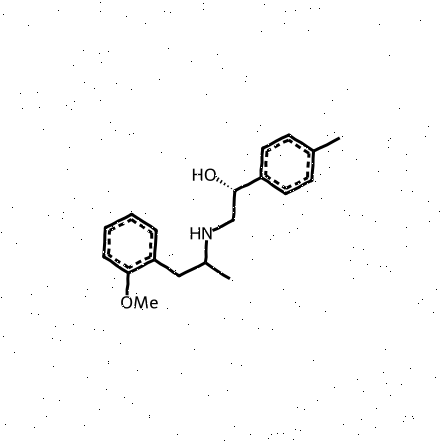 COc1ccccc1CC(C)NC[C@H](O)c1ccc(C)cc1